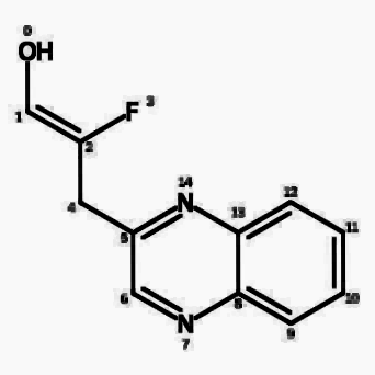 O/C=C(\F)Cc1cnc2ccccc2n1